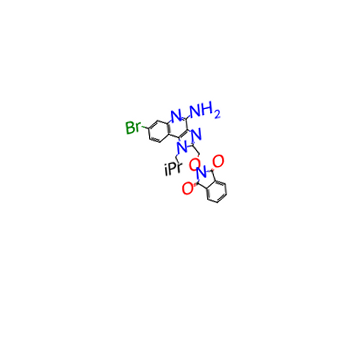 CC(C)Cn1c(CON2C(=O)c3ccccc3C2=O)nc2c(N)nc3cc(Br)ccc3c21